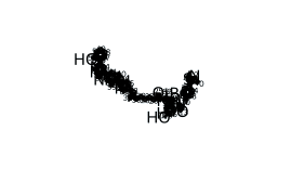 Cc1ncsc1-c1ccc(CNC(=O)[C@@H]2C[C@@H](O)CN2C(=O)[C@@H](NC(=O)CCCCCN(C)Cc2cnc(N3C(C)CN(c4cc(-c5ccccc5O)nnc4N)CC3C)nc2)C(C)(C)C)cc1